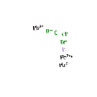 [Br-].[Br-].[Cl-].[Cl-].[I-].[I-].[Pb+2].[Pb+2].[Pb+2]